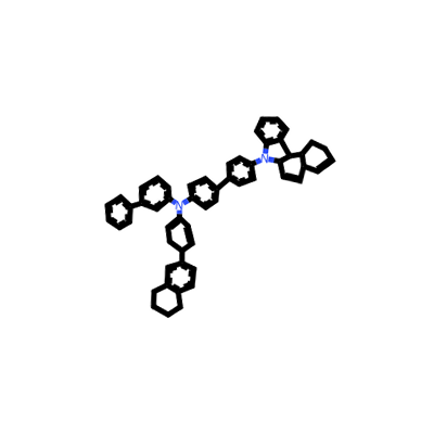 C1=CC2C=CC3C(c4ccccc4N3c3ccc(-c4ccc(N(C5=CCC(c6ccc7c(c6)CCCC7)C=C5)c5cccc(-c6ccccc6)c5)cc4)cc3)C2CC1